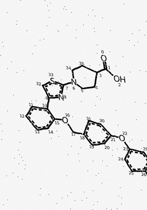 O=C(O)C1CCN(c2nc(-c3ccccc3OCc3ccc(Oc4ccc(F)cc4)cc3)cs2)CC1